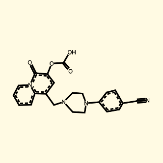 N#Cc1ccc(N2CCN(Cc3cc(OC(=O)O)c(=O)n4ccccc34)CC2)cc1